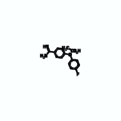 CC(=O)O.N=C(N)c1ccc(Oc2ccc(F)cc2)cc1